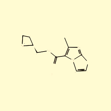 Cl.O=C(NC[C@@H]1CCN1)c1c(Cl)nc2sccn12